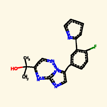 CC(C)(O)c1cnn2c(-c3ccc(F)c(-c4ccccn4)c3)cnc2n1